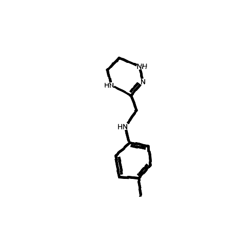 Cc1ccc(NCC2=NNCCN2)cc1